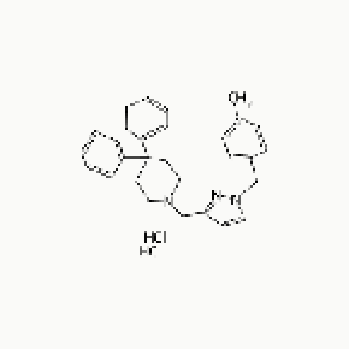 Cc1ccc(Cn2ccc(CN3CCC(c4ccccc4)(c4ccccc4)CC3)n2)cc1.Cl.Cl